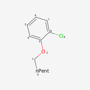 [CH2]CCCCCOc1ccccc1Cl